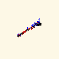 CCCCc1nc(Cl)c(CNC(=O)COCC(=O)NCCOCCOCCOCCOCCOCCNC(=O)OC(C)(C)C)n1Cc1ccc(-c2ccccc2-c2nn[nH]n2)cc1